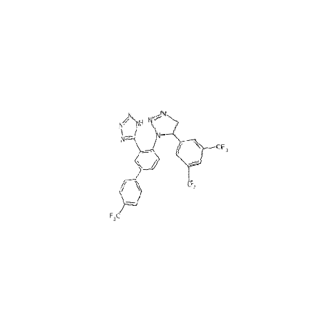 FC(F)(F)c1ccc(-c2ccc(N3N=NCC3c3cc(C(F)(F)F)cc(C(F)(F)F)c3)c(-c3nnn[nH]3)c2)cc1